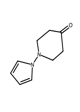 O=C1CCN(n2cccc2)CC1